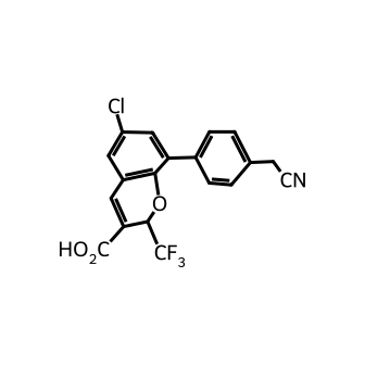 N#CCc1ccc(-c2cc(Cl)cc3c2OC(C(F)(F)F)C(C(=O)O)=C3)cc1